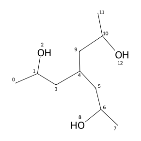 CC(O)CC(CC(C)O)CC(C)O